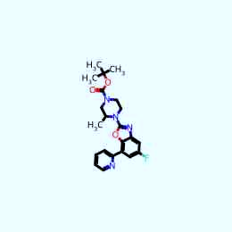 CC1CN(C(=O)OC(C)(C)C)CCN1c1nc2cc(F)cc(-c3ccccn3)c2o1